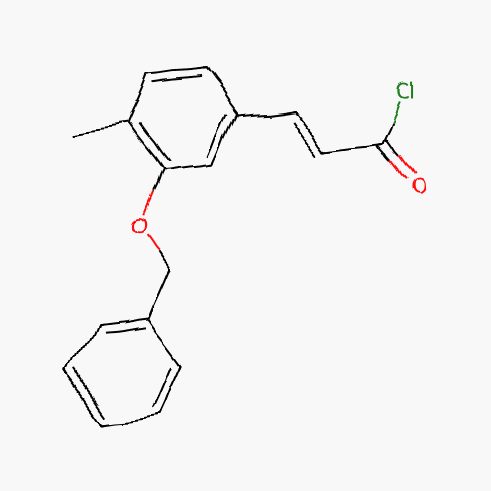 Cc1ccc(/C=C/C(=O)Cl)cc1OCc1ccccc1